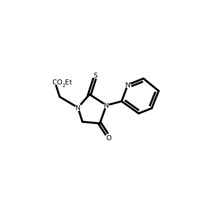 CCOC(=O)CN1CC(=O)N(c2ccccn2)C1=S